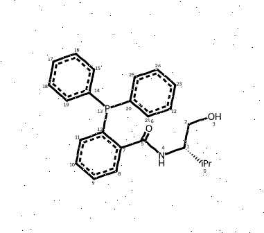 CC(C)[C@@H](CO)NC(=O)c1ccccc1P(c1ccccc1)c1ccccc1